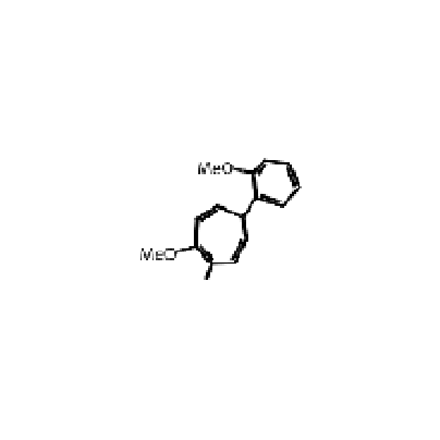 COC1=C(C)C=CC(c2ccccc2OC)C=C1